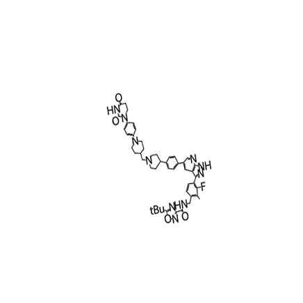 Cc1c(CNC(=O)c2noc(C(C)(C)C)n2)ccc(-c2n[nH]c3ncc(-c4ccc(C5CCN(CC6CCN(c7ccc(N8CCC(=O)NC8=O)cc7)CC6)CC5)cc4)cc23)c1F